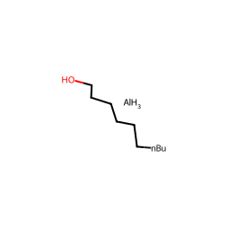 CCCCCCCCCCO.[AlH3]